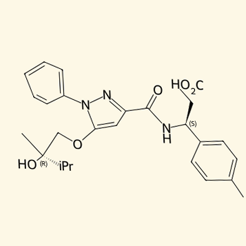 Cc1ccc([C@H](CC(=O)O)NC(=O)c2cc(OC[C@](C)(O)C(C)C)n(-c3ccccc3)n2)cc1